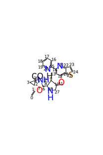 C=C[C@@H]1C[C@]1(NC(=O)[C@H]1C[C@@H](Oc2cc(-c3ccccn3)nc3ccsc23)CN1)C(=O)O